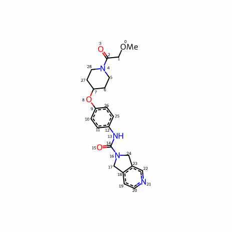 COCC(=O)N1CCC(Oc2ccc(NC(=O)N3Cc4ccncc4C3)cc2)CC1